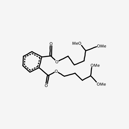 COC(CCCOC(=O)c1ccccc1C(=O)OCCCC(OC)OC)OC